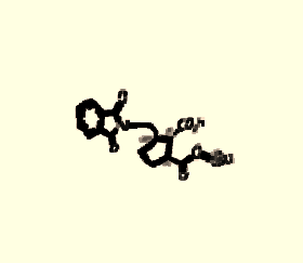 CC(C)(C)OC(=O)[C@H]1CC[C@@H](CN2C(=O)c3ccccc3C2=O)[C@@H]1C(=O)O